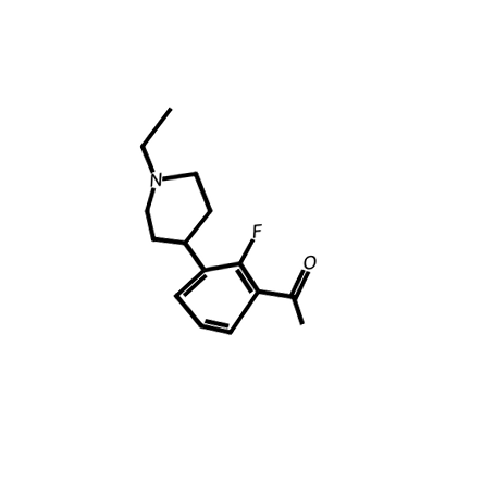 CCN1CCC(c2cccc(C(C)=O)c2F)CC1